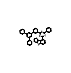 C1=Cc2sc3cccc(-c4nc(-c5ccccc5)nc(-c5cccc(-c6cc(-c7ccccc7)cc(-c7ccccc7)c6)c5)n4)c3c2C1